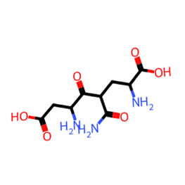 NC(=O)C(CC(N)C(=O)O)C(=O)C(N)CC(=O)O